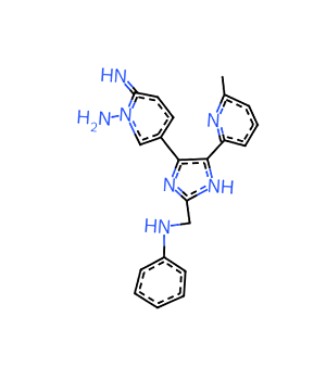 Cc1cccc(-c2[nH]c(CNc3ccccc3)nc2-c2ccc(=N)n(N)c2)n1